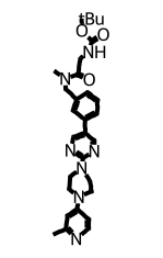 Cc1cc(N2CCN(c3ncc(-c4cccc(CN(C)C(=O)CNC(=O)OC(C)(C)C)c4)cn3)CC2)ccn1